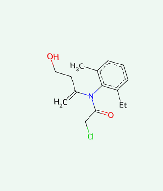 C=C(CCO)N(C(=O)CCl)c1c(C)cccc1CC